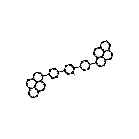 Fc1cc(-c2ccc(-c3ccc4ccc5cccc6ccc3c4c56)cc2)ccc1-c1ccc(-c2ccc3ccc4cccc5ccc2c3c45)cc1